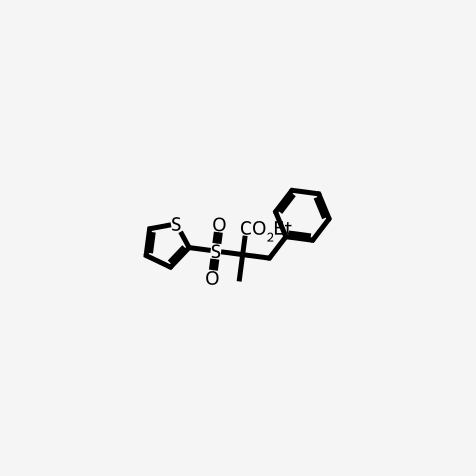 CCOC(=O)C(C)(Cc1ccccc1)S(=O)(=O)c1cccs1